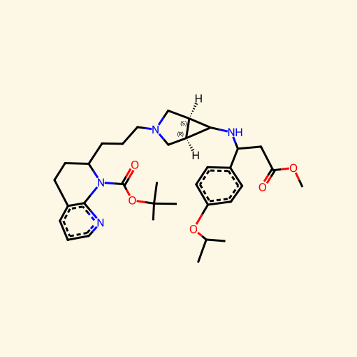 COC(=O)CC(NC1[C@H]2CN(CCCC3CCc4cccnc4N3C(=O)OC(C)(C)C)C[C@@H]12)c1ccc(OC(C)C)cc1